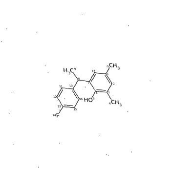 Cc1cc(C)c(O)c(C(C)c2ccc(F)cc2)c1